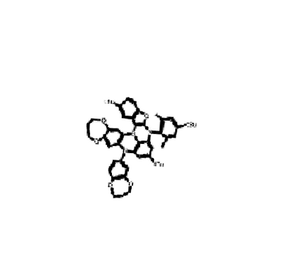 Cc1cc(C(C)(C)C)cc(C)c1N1c2cc(C(C)(C)C)cc3c2B(c2cc4c(cc2N3c2ccc3c(c2)OCCCO3)OCCCO4)c2c1oc1ccc(C(C)(C)C)cc21